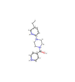 CCc1ccc(N2CCN(C(=O)c3ccncc3)CC2)nc1